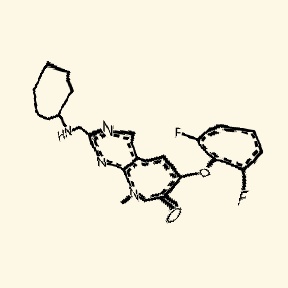 Cn1c(=O)c(Oc2c(F)cccc2F)cc2cnc(NC3CCCCC3)nc21